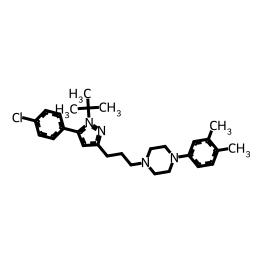 Cc1ccc(N2CCN(CCCc3cc(-c4ccc(Cl)cc4)n(C(C)(C)C)n3)CC2)cc1C